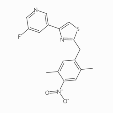 Cc1cc([N+](=O)[O-])c(C)cc1Cc1nc(-c2cncc(F)c2)cs1